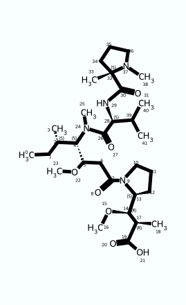 CC[C@H](C)[C@@H](C(CC(=O)N1CCC[C@H]1[C@H](OC)[C@@H](C)C(=O)O)OC)N(C)C(=O)[C@@H](NC(=O)[C@]1(C)CCCN1C)C(C)C